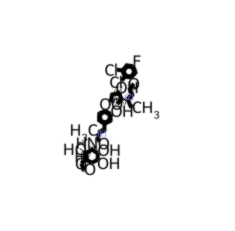 CC/C(=C/COc1cc(F)cc(Cl)c1Cl)[C@H]1O[C@@H](Oc2ccc(/C=C(\C)C(=O)N[C@@H]3C(O)C(O)C4OCO[C@H]4[C@@H]3O)cc2O)C[C@@H]1O